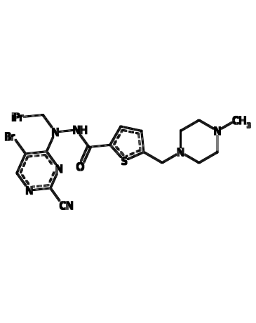 CC(C)CN(NC(=O)c1ccc(CN2CCN(C)CC2)s1)c1nc(C#N)ncc1Br